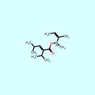 CC=C(C)[SiH](C)OC(=O)C(=CC(C)C)C(C)C